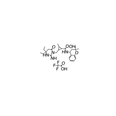 CCC1(CC)CC(=O)N(CC2C(C)C2C(=O)N[C@@H]2c3ccccc3OC(C)(C)[C@H]2O)C(=N)N1.O=C(O)C(F)(F)F